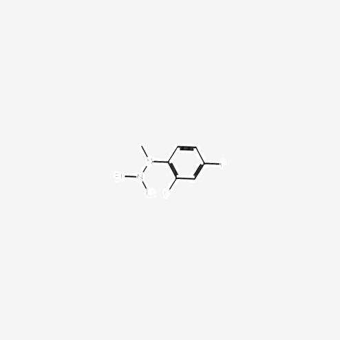 CCN(CC)N(C)c1ccc(F)cc1F